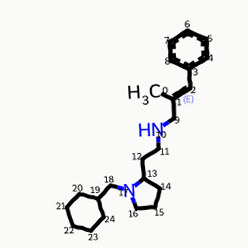 C/C(=C\c1ccccc1)CNCCC1CCCN1CC1CCCCC1